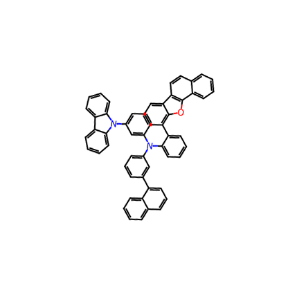 c1cc(-c2cccc3ccccc23)cc(N(c2cccc(-n3c4ccccc4c4ccccc43)c2)c2ccccc2-c2cccc3c2oc2c4ccccc4ccc32)c1